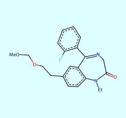 CCN1C(=O)CN=C(c2ccccc2F)c2cc(CCOCOC)ccc21